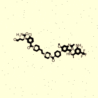 COc1cc2nc(C)nc(N[C@H](C)c3cc(N)cc(C(F)(F)F)c3)c2cc1[C@H]1CC[C@H](C(=O)N2CCN(CCC3CCN(C(=O)c4ccc(Cl)c(N(CCC=O)C(N)=O)c4)CC3)CC2)CC1